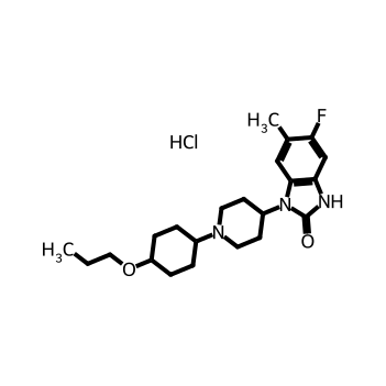 CCCOC1CCC(N2CCC(n3c(=O)[nH]c4cc(F)c(C)cc43)CC2)CC1.Cl